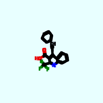 C#Cc1c(C(=O)O)c(C(F)(F)F)nc2ccccc12.C1=CCCC=C1